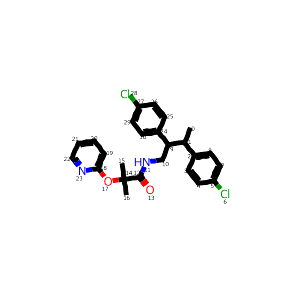 CC(c1ccc(Cl)cc1)C(CNC(=O)C(C)(C)Oc1ccccn1)c1ccc(Cl)cc1